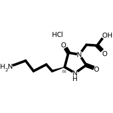 Cl.NCCCC[C@@H]1NC(=O)N(CC(=O)O)C1=O